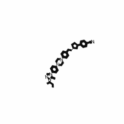 C=C1N(c2ccc(N3CCN(c4ccc(CC[C@@H]5CCC(c6ccc(C#N)cc6)C5)cc4)CC3)cc2)C=NN1C(C)CC